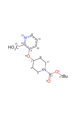 CC(C)(C)OC(=O)N1CCC(Oc2cccnc2C(=O)O)CC1